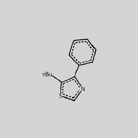 CCCCc1scnc1-c1ccccc1